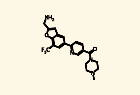 CN1CCN(C(=O)c2ccc(-c3cc(C(F)(F)F)c4oc(CN)cc4c3)nc2)CC1